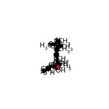 COC(=O)C[C@@H]1N=C(c2ccc(-c3ccc(OC(C)C(=O)N[C@H](C(=O)N4C[C@H](O)C[C@H]4C(=O)N[C@@H](C)c4ccc(-c5scnc5C)cc4)C(C)(C)C)cc3)cc2)c2c(sc(C)c2C)-n2c(C)nnc21